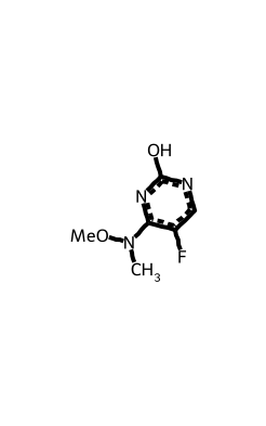 CON(C)c1nc(O)ncc1F